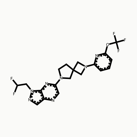 FC(F)Cn1ncc2ncc(N3CCC4(CN(c5cccc(OC(F)(F)F)n5)C4)C3)nc21